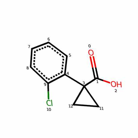 O=C(O)C1(c2ccccc2Cl)CC1